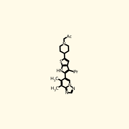 CC(=O)CN1CCC(c2cc3c(C(C)C)c(-c4cn5ncnc5c(C)c4C)[nH]c3s2)CC1